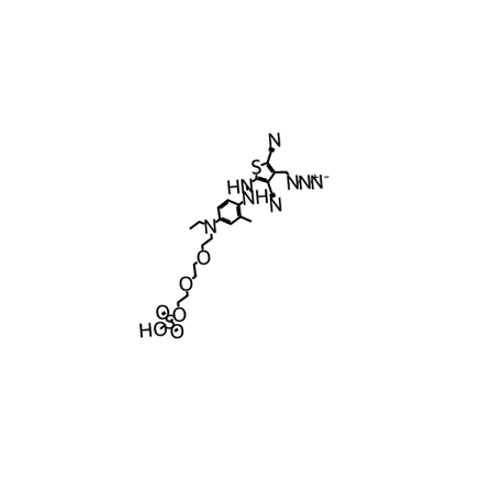 CCN(CCOCCOCCOS(=O)(=O)O)c1ccc(NNc2sc(C#N)c(CN=[N+]=[N-])c2C#N)c(C)c1